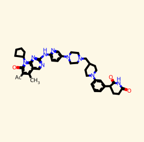 CC(=O)c1c(C)c2cnc(Nc3ccc(N4CCN(CC5CCN(c6cccc(C7CCC(=O)NC7=O)c6)CC5)CC4)cn3)nc2n(C2CCCC2)c1=O